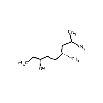 CC[C@H](O)CC[C@@H](C)CC(C)C